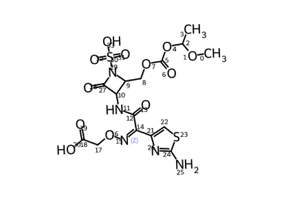 COC(C)OC(=O)OCC1C(NC(=O)/C(=N\OCC(=O)O)c2csc(N)n2)C(=O)N1S(=O)(=O)O